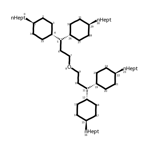 CCCCCCC[C@H]1CC[C@H](C(CCOCCC([C@H]2CC[C@H](CCCCCCC)CC2)[C@H]2CC[C@H](CCCCCCC)CC2)[C@H]2CC[C@H](CCCCCCC)CC2)CC1